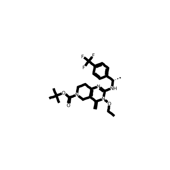 C=C1C2=C(CCN(C(=O)OC(C)(C)C)C2)N=C(N[C@@H](C)c2ccc(C(F)(F)F)cc2)N1OCC